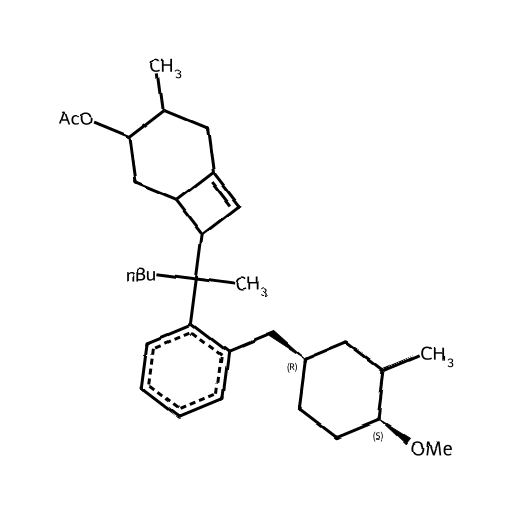 CCCCC(C)(c1ccccc1C[C@@H]1CC[C@H](OC)C(C)C1)C1C=C2CC(C)C(OC(C)=O)CC21